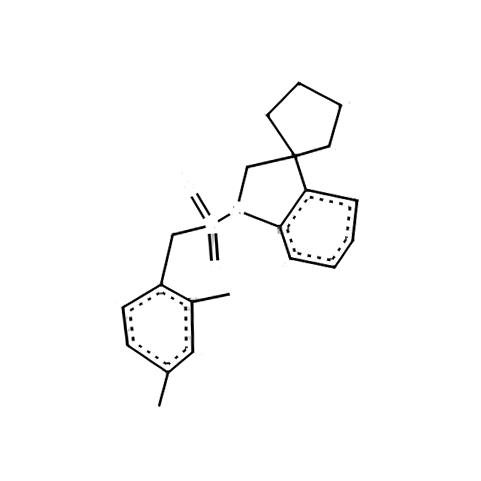 Cc1ccc(CS(=O)(=O)N2CC3(CCCC3)c3ccccc32)c(F)c1